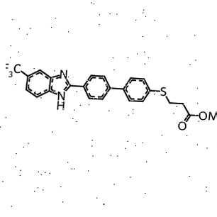 COC(=O)CCSc1ccc(-c2ccc(-c3nc4cc(C(F)(F)F)ccc4[nH]3)cc2)cc1